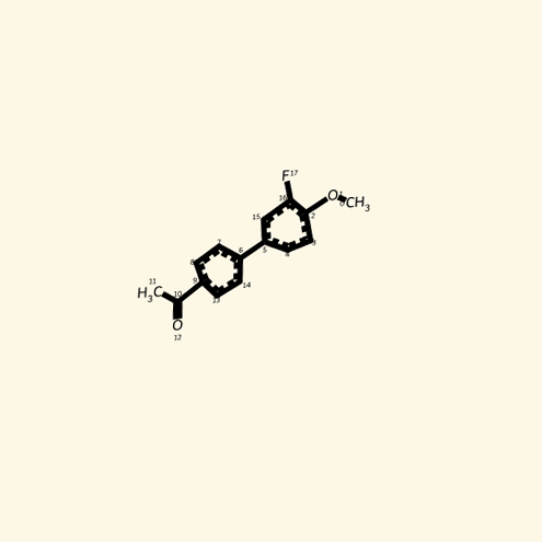 COc1ccc(-c2ccc(C(C)=O)cc2)cc1F